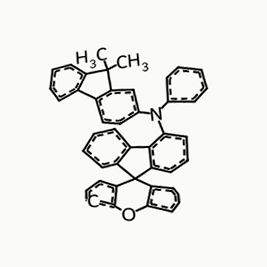 CC1(C)c2ccccc2-c2ccc(N(c3ccccc3)c3cccc4c3-c3ccccc3C43c4ccccc4Oc4ccccc43)cc21